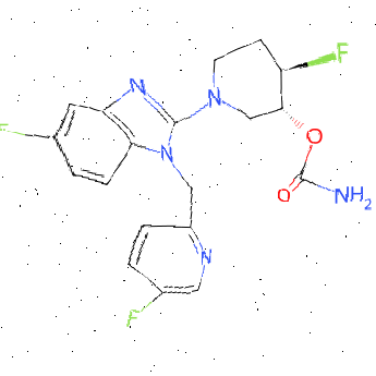 NC(=O)O[C@@H]1CN(c2nc3cc(F)ccc3n2Cc2ccc(F)cn2)CC[C@H]1F